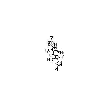 Cc1[nH]c(-c2nnc(C3CC3)o2)c(C)c1C(=O)c1c(C)[nH]c(-c2nnc(C3CC3)o2)c1C